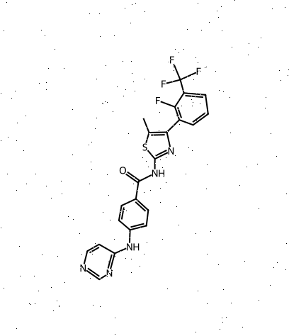 Cc1sc(NC(=O)c2ccc(Nc3ccncn3)cc2)nc1-c1cccc(C(F)(F)F)c1F